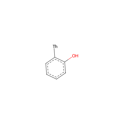 Oc1cccc[c]1[Th]